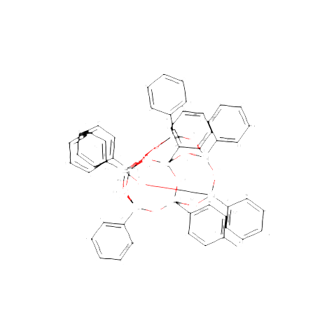 Cc1ccc([Si]23O[Si]4(c5ccccc5)O[Si]5(c6ccccc6)O[Si]6(c7ccccc7)O[Si](c7ccccc7)(O4)O[Si](c4ccccc4)(O[Si](c4ccccc4)(O6)O[Si](c4ccccc4)(O5)O2)O3)cc1